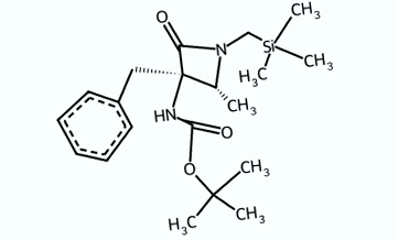 C[C@H]1N(C[Si](C)(C)C)C(=O)[C@]1(Cc1ccccc1)NC(=O)OC(C)(C)C